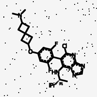 CC(C)[C@@H](C)Nc1c(-c2c(F)cc(OC3CC4(C3)CC(N(C)C)C4)cc2F)c(Cl)nc2ncnn12